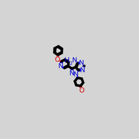 Nc1ncnc2c1c(-c1ccc(Oc3ccccc3)nc1)nn2C1CCC(=O)CC1